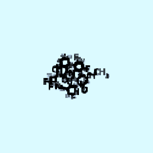 CCCN1CC(=O)N(c2cc(C#N)ccn2)[C@H](C(=O)N(c2cc(F)cc(F)c2)[C@H](C(=O)NC2CC(F)(F)C2)c2ccccc2Cl)C1